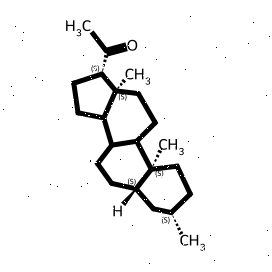 CC(=O)[C@H]1CCC2C3CC[C@H]4C[C@@H](C)CC[C@]4(C)C3CC[C@@]21C